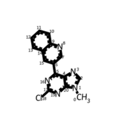 Cn1cnc2c(-c3cnc4ccccc4c3)nc(Cl)nc21